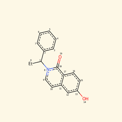 CCC(c1ccccc1)n1ccc2cc(O)ccc2c1=O